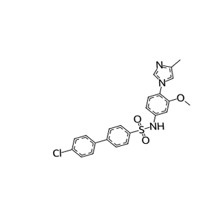 COc1cc(NS(=O)(=O)c2ccc(-c3ccc(Cl)cc3)cc2)ccc1-n1cnc(C)c1